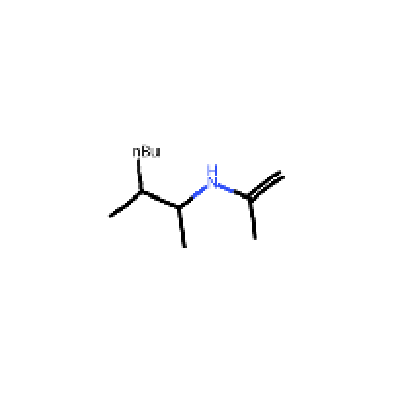 C=C(C)NC(C)C(C)CCCC